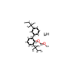 CCC(C)(C)c1cc[c]c(-c2cccc(C(C)(C)CC)c2OCOC)c1.[LiH]